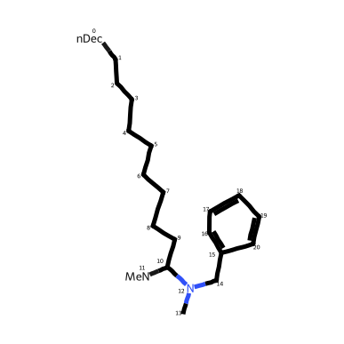 CCCCCCCCCCCCCCCCCCCC(NC)N(C)Cc1ccccc1